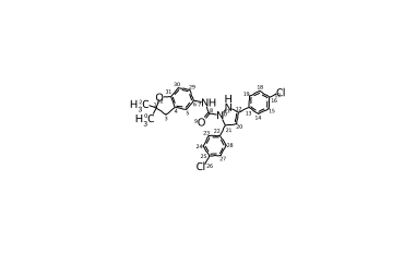 CC1(C)Cc2cc(NC(=O)N3NC(c4ccc(Cl)cc4)=CC3c3ccc(Cl)cc3)ccc2O1